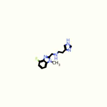 Cn1c(CNCCc2c[nH]cn2)nc2c(F)cccc21